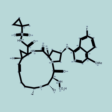 CC[C@@H]1O[C@H](C)CC/C=C\[C@@H]2CC2(C(=O)NS(=O)(=O)C2(C)CC2)NC(=O)[C@@H]2C[C@@H](Oc3ncc(OC)c4ccc(F)cc34)CN2C(=O)[C@H]1NC(=O)O